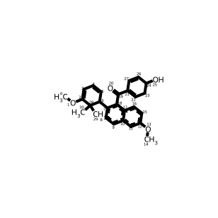 COC1=CC=CC(c2ccc3cc(OC)ccc3c2C(=O)C2=CCC(O)C=C2)C1(C)C